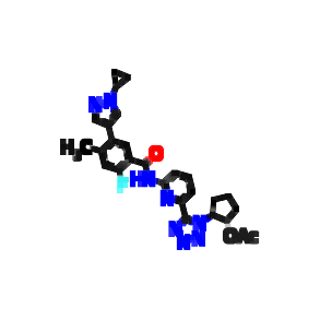 CC(=O)O[C@H]1CCC[C@@H]1n1nnnc1-c1cccc(NC(=O)c2cc(-c3cnn(C4CC4)c3)c(C)cc2F)n1